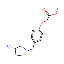 COC(=O)COc1ccc(CN2CC[C@H](N)C2)cc1